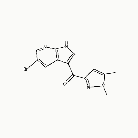 Cc1cc(C(=O)c2c[nH]c3ncc(Br)cc23)nn1C